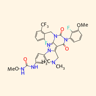 CONC(=O)Nc1ccc(-n2nc3c(c2CN(C)C)c(=O)n(-c2cccc(OC)c2F)c(=O)n3Cc2c(F)cccc2C(F)(F)F)cc1